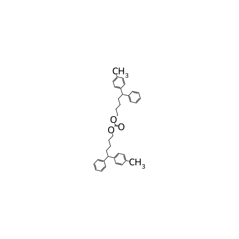 Cc1ccc(C(CCCCOC(=O)OCCCCC(c2ccccc2)c2ccc(C)cc2)c2ccccc2)cc1